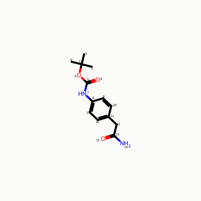 CC(C)(C)OC(=O)Nc1c[c]c(CC(N)=O)cc1